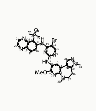 COc1nc2c(cc1Nc1ncc(Br)c(Nc3ccc4nccnc4c3P(C)(C)=O)n1)-c1cnn(C)c1CCN2C